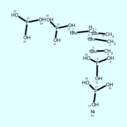 CC(C)(C)C.CC(C)(C)C.CC(C)(C)C.CC(C)(C)C.OP(O)O.OP(O)O.OP(O)O.OP(O)O.[Ni]